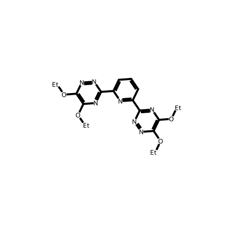 CCOc1nnc(-c2cccc(-c3nnc(OCC)c(OCC)n3)n2)nc1OCC